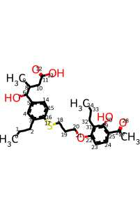 CCCc1cc(C(O)C(C)CC(=O)O)ccc1SCCCOc1ccc(C(C)=O)c(O)c1CCC